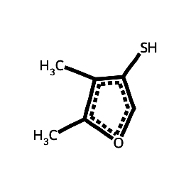 Cc1occ(S)c1C